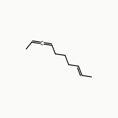 CC=C=CCCCC=CC